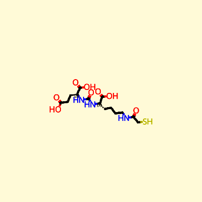 O=C(O)CC[C@H](NC(=O)N[C@@H](CCCCNC(=O)CS)C(=O)O)C(=O)O